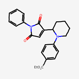 CCOC(=O)c1ccc(N2CCCCC2C2=CC(=O)N(c3ccccc3)C2=O)cc1